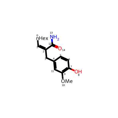 CCCCCCC=C(Cc1ccc(O)c(OC)c1)C(N)=O